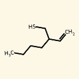 C=CC(CS)CCCC